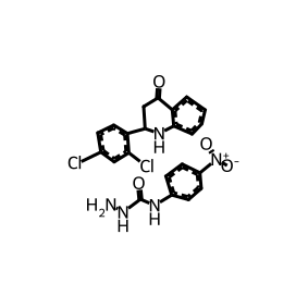 NNC(=O)Nc1ccc([N+](=O)[O-])cc1.O=C1CC(c2ccc(Cl)cc2Cl)Nc2ccccc21